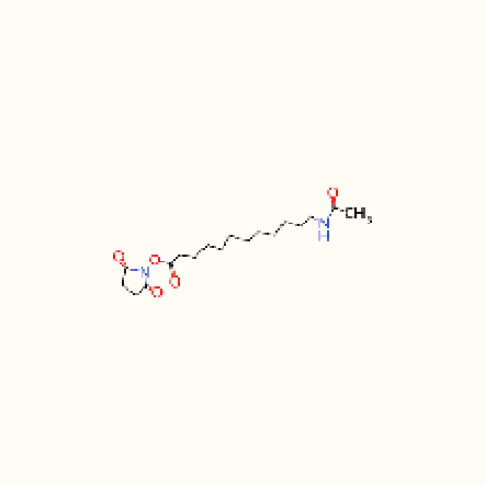 CC(=O)NCCCCCCCCCCCC(=O)ON1C(=O)CCC1=O